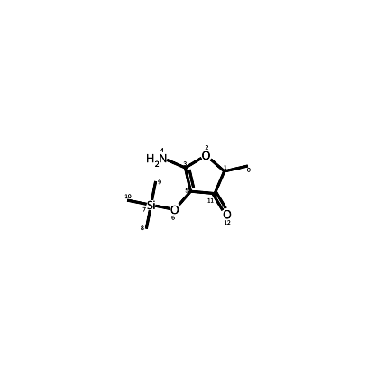 CC1OC(N)=C(O[Si](C)(C)C)C1=O